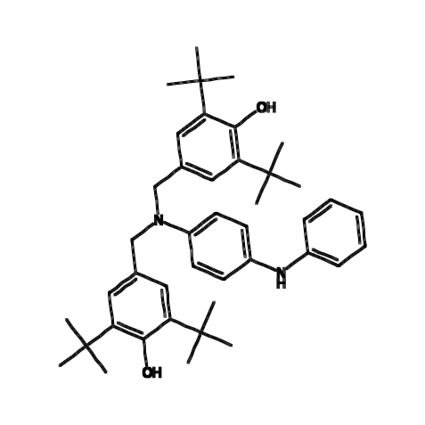 CC(C)(C)c1cc(CN(Cc2cc(C(C)(C)C)c(O)c(C(C)(C)C)c2)c2ccc(Nc3ccccc3)cc2)cc(C(C)(C)C)c1O